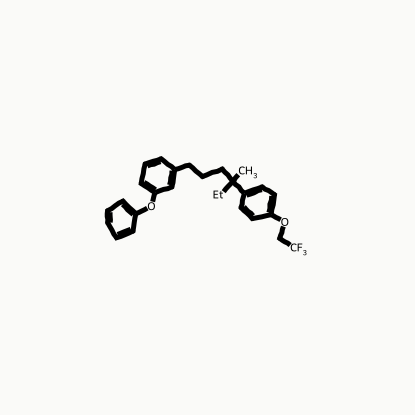 CCC(C)(CCCc1cccc(Oc2ccccc2)c1)c1ccc(OCC(F)(F)F)cc1